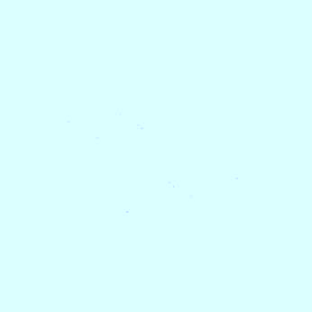 Cc1ccc(N=CC=Nc2ccc(C)c(C)c2)cc1C.[Pd]